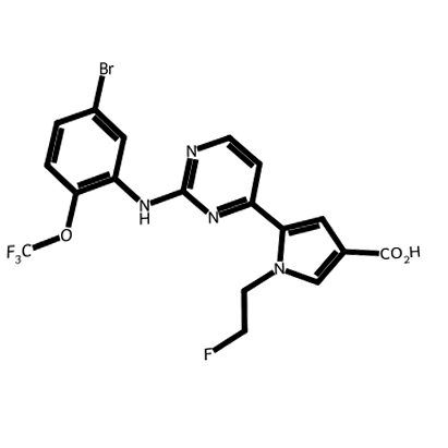 O=C(O)c1cc(-c2ccnc(Nc3cc(Br)ccc3OC(F)(F)F)n2)n(CCF)c1